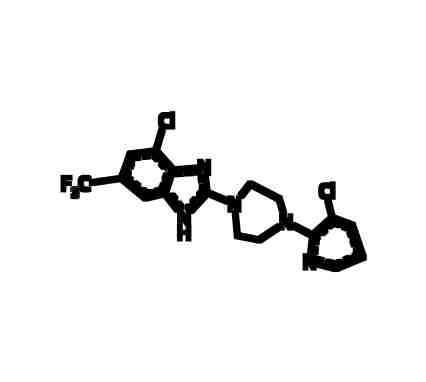 FC(F)(F)c1cc(Cl)c2nc(N3CCN(c4ncccc4Cl)CC3)[nH]c2c1